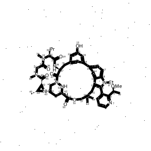 CCn1c(-c2cccnc2[C@H](C)OC)c2c3cc(ccc31)-c1cc(O)cc(c1)C[C@H](NC(=O)[C@H](C(C)C)N(C)C(=O)CN(C)C(=O)[C@@H]1N[C@@H]1C)C(=O)N1CCC[C@H](N1)C(=O)OCC(C)(C)C2